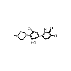 CN1CCN(c2ccc(-c3ccc(Cl)c(=O)[nH]3)cc2Cl)CC1.Cl